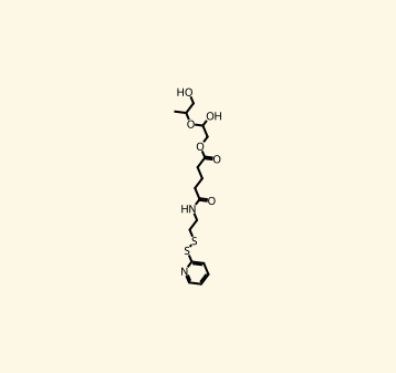 CC(CO)OC(O)COC(=O)CCCC(=O)NCCSSc1ccccn1